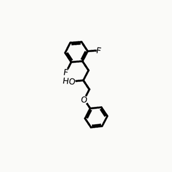 OC(COc1ccccc1)Cc1c(F)cccc1F